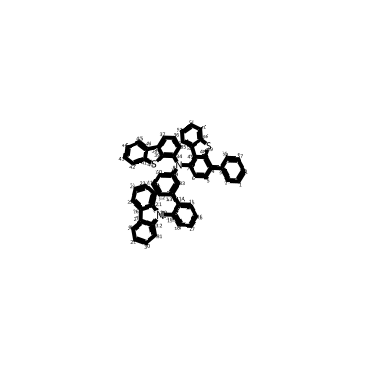 c1ccc(-c2ccc(N(c3cccc(-c4ccccc4-n4c5ccccc5c5ccccc54)c3)c3cccc4c3sc3ccccc34)c3c2sc2ccccc23)cc1